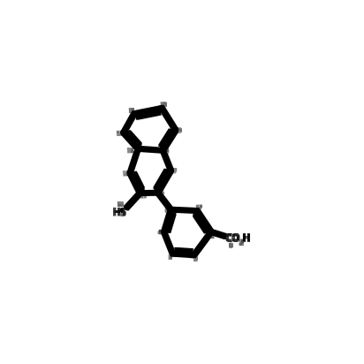 O=C(O)c1cccc(-c2cc3ccccc3cc2S)c1